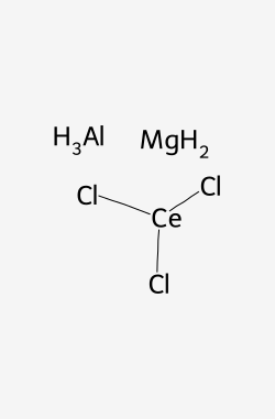 [AlH3].[Cl][Ce]([Cl])[Cl].[MgH2]